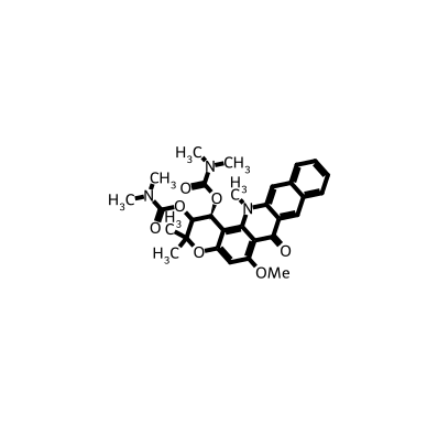 COc1cc2c(c3c1c(=O)c1cc4ccccc4cc1n3C)[C@H](OC(=O)N(C)C)C(OC(=O)N(C)C)C(C)(C)O2